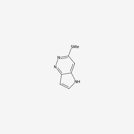 CSc1cc2[nH]ccc2nn1